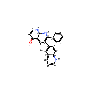 Cc1c(-c2cc3c(=O)cc[nH]c3nc2-c2ccccc2)ccc2ncccc12